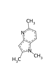 Cc1ccc2c(cc(C)n2C)n1